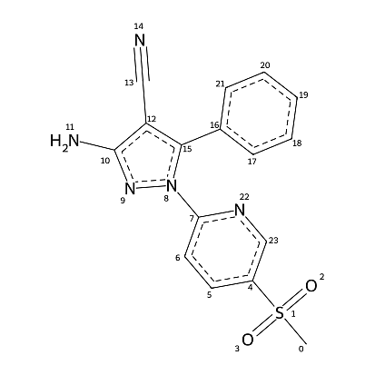 CS(=O)(=O)c1ccc(-n2nc(N)c(C#N)c2-c2ccccc2)nc1